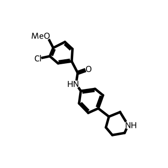 COc1ccc(C(=O)Nc2ccc(C3CCCNC3)cc2)cc1Cl